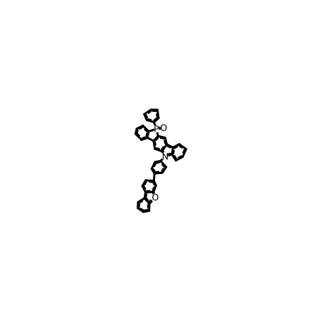 O=P1(c2ccccc2)c2ccccc2-c2cc3c(cc21)c1ccccc1n3-c1ccc(-c2ccc3c(c2)oc2ccccc23)cc1